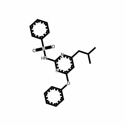 CC(C)Cc1cc(Oc2ccccc2)nc(NS(=O)(=O)c2ccccc2)n1